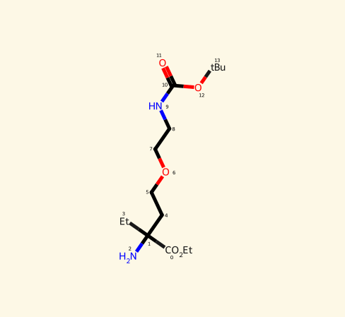 CCOC(=O)C(N)(CC)CCOCCNC(=O)OC(C)(C)C